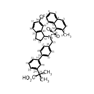 Cc1ccc2ccccc2c1S(=O)(=O)N(Cc1ccc(-c2cccc(C(C)(C)C(=O)O)c2)cc1)C1CCc2ccc(C(F)(F)F)cc21